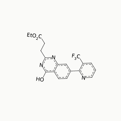 CCOC(=O)CCc1nc(O)c2ccc(-c3ncccc3C(F)(F)F)cc2n1